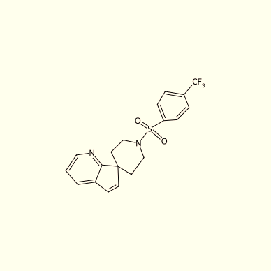 O=S(=O)(c1ccc(C(F)(F)F)cc1)N1CCC2(C=Cc3cccnc32)CC1